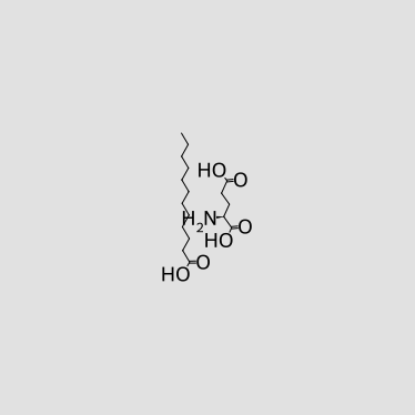 CCCCCCCCCCCC(=O)O.N[C@@H](CCC(=O)O)C(=O)O